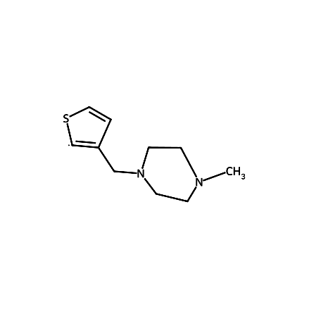 CN1CCN(Cc2[c]scc2)CC1